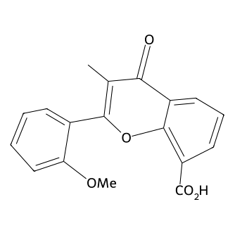 COc1ccccc1-c1oc2c(C(=O)O)cccc2c(=O)c1C